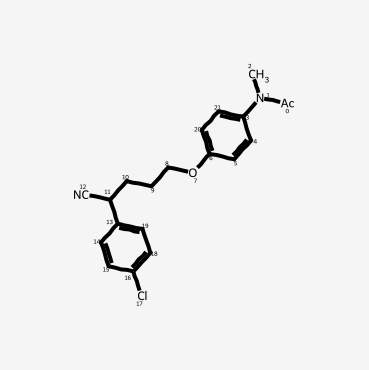 CC(=O)N(C)c1ccc(OCCCC(C#N)c2ccc(Cl)cc2)cc1